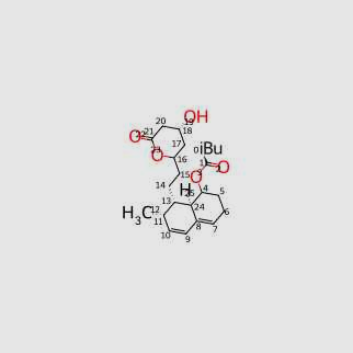 CC[C@H](C)C(=O)OC1CCC=C2C=C[C@H](C)[C@H](CCC3C[C@@H](O)CC(=O)O3)[C@H]21